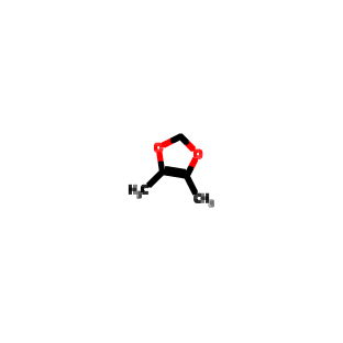 CC1=C(C)OCO1